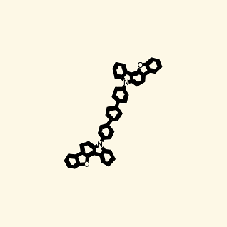 c1ccc2c(c1)oc1c2ccc2c1c1ccccc1n2-c1ccc(-c2ccc(-c3ccc(-n4c5ccccc5c5c6oc7ccccc7c6ccc54)cc3)cc2)cc1